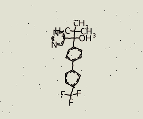 CC(C)(C)C(O)(c1ccc(-c2ccc(C(F)(F)F)cc2)cc1)c1cncnc1